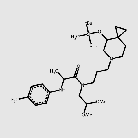 COC(CN(CCCN1CCC2(CC2)C(O[Si](C)(C)C(C)(C)C)C1)C(=O)C(C)Nc1ccc(C(F)(F)F)cc1)OC